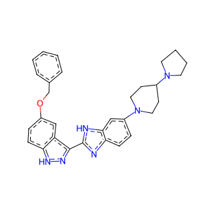 c1ccc(COc2ccc3[nH]nc(-c4nc5ccc(N6CCC(N7CCCC7)CC6)cc5[nH]4)c3c2)cc1